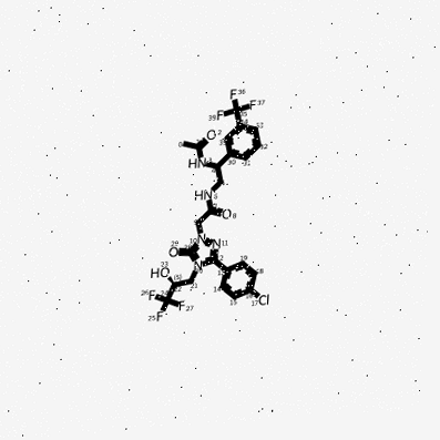 CC(=O)NC(CNC(=O)Cn1nc(-c2ccc(Cl)cc2)n(C[C@H](O)C(F)(F)F)c1=O)c1cccc(C(F)(F)F)c1